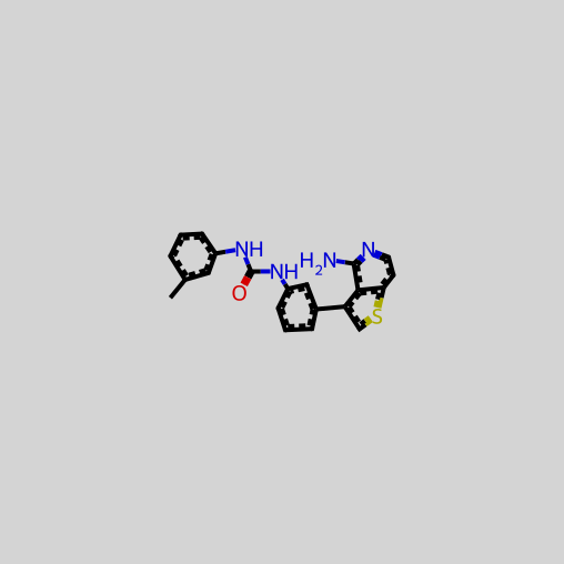 Cc1cccc(NC(=O)Nc2cccc(-c3csc4ccnc(N)c34)c2)c1